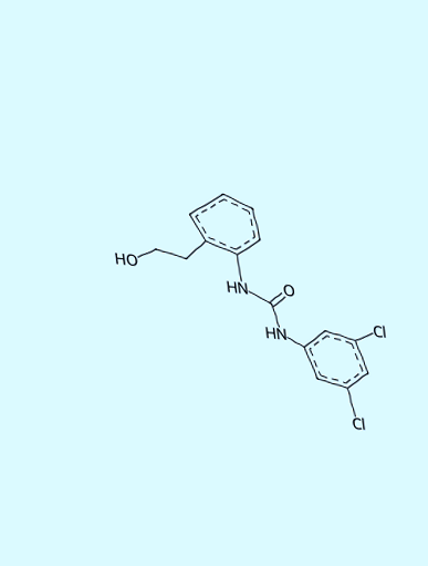 O=C(Nc1cc(Cl)cc(Cl)c1)Nc1ccccc1CCO